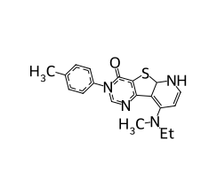 CCN(C)C1=C2c3ncn(-c4ccc(C)cc4)c(=O)c3SC2NC=C1